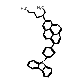 CCCCC(CC)c1cc2ccc3ccc(-c4ccc(-n5c6ccccc6c6ccccc65)cc4)c4ccc(c1)c2c34